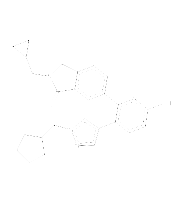 Cc1ccc(-c2cnn(CC3CCCC3)c2)c(-c2ccc3c(c2)C(=O)N(CC2CC2)C3)n1